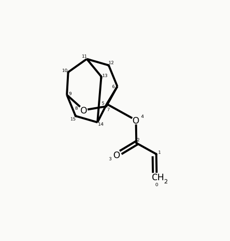 C=CC(=O)OC1C2COC3CC(C2)CC1C3